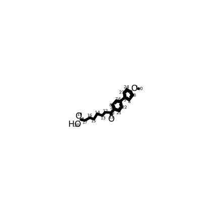 COc1ccc(-c2ccc(C(=O)CCCCCCC(=O)O)cc2)cc1